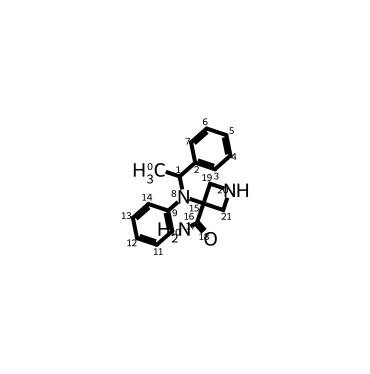 CC(c1ccccc1)N(c1ccccc1)C1(C(N)=O)CNC1